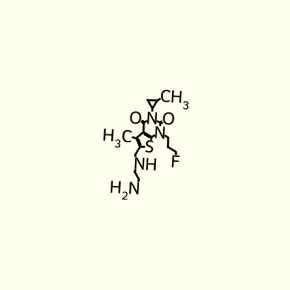 Cc1c(CNCCN)sc2c1c(=O)n(C1CC1C)c(=O)n2CCCF